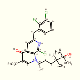 CCOC(=O)c1cn([C@H](CCC(C)(C)[Si](C)(C)O)C(C)C)c2c(Cl)nc(Cc3cccc(Cl)c3F)cc2c1=O